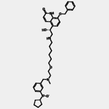 CN(CCOCCCCCCNC[C@H](O)c1ccc(OCc2ccccc2)c2[nH]c(=O)ccc12)Cc1cccc([S+]([O-])C2CCCC2)c1